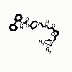 CCN(CC)Cc1ccc(C(=O)CNCCN2CCC(OC(=O)Nc3ccccc3-c3ccccc3)CC2)o1